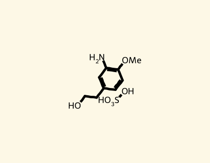 COc1ccc(CCO)cc1N.O=S(=O)(O)O